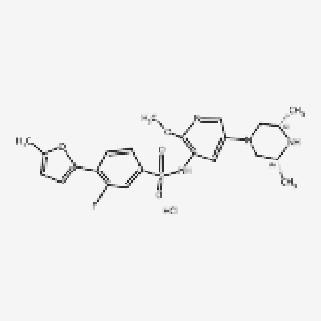 COc1ncc(N2C[C@@H](C)N[C@@H](C)C2)cc1NS(=O)(=O)c1ccc(-c2ccc(C)o2)c(F)c1.Cl